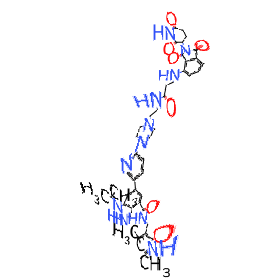 Cc1cc(C)c(CNC(=O)c2cc(-c3ccc(N4CCN(CCNC(=O)CCNc5cccc6c5C(=O)N(C5CCC(=O)NC5=O)C6=O)CC4)nc3)cc(NC(C)C)c2C=N)c(=O)[nH]1